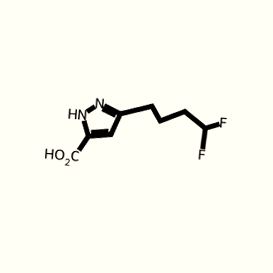 O=C(O)c1cc(CCCC(F)F)n[nH]1